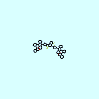 C1=C(c2c3ccccc3c(-c3ccccc3-c3cccc4ccccc34)c3ccccc23)CCC2=C1Sc1cccc3c1c2cc1sc2cc(-c4c5ccccc5c(-c5ccccc5-c5cccc6ccccc56)c5ccccc45)ccc2c13